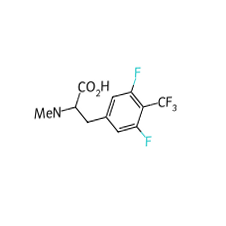 CNC(Cc1cc(F)c(C(F)(F)F)c(F)c1)C(=O)O